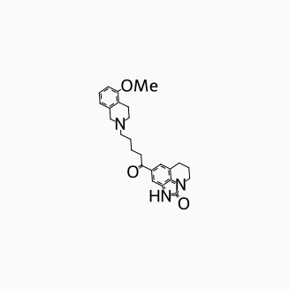 COc1cccc2c1CCN(CCCCC(=O)c1cc3c4c(c1)[nH]c(=O)n4CCC3)C2